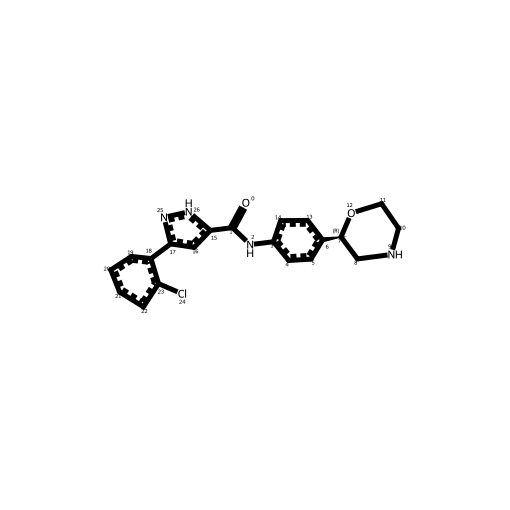 O=C(Nc1ccc([C@@H]2CNCCO2)cc1)c1cc(-c2ccccc2Cl)n[nH]1